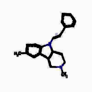 Cc1ccc2c(c1)C1CN(C)CCC1N2/C=C/c1ccccc1